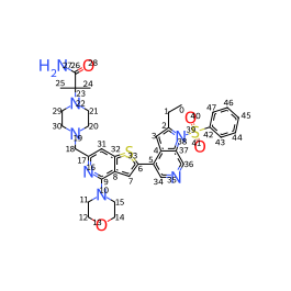 CCc1cc2c(-c3cc4c(N5CCOCC5)nc(CN5CCN(C(C)(C)C(N)=O)CC5)cc4s3)cncc2n1S(=O)(=O)c1ccccc1